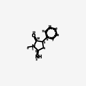 CN1C(=N)CC(c2ccccc2)C1=O